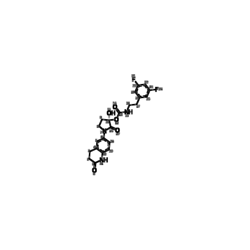 O=C1CCc2cc(N3CC[C@@](O)(OC(=O)NCCc4cc(F)cc(F)c4)C3=O)ccc2N1